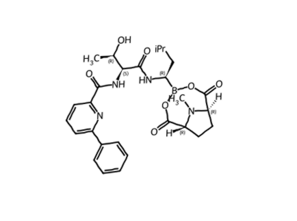 CC(C)C[C@H](NC(=O)[C@@H](NC(=O)c1cccc(-c2ccccc2)n1)[C@@H](C)O)B1OC(=O)[C@H]2CC[C@H](C(=O)O1)N2C